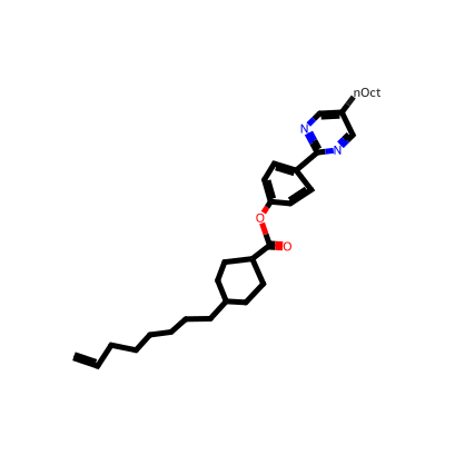 C=CCCCCCCC1CCC(C(=O)Oc2ccc(-c3ncc(CCCCCCCC)cn3)cc2)CC1